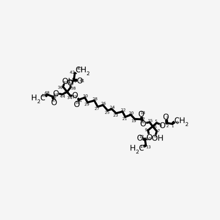 C=CC(=O)OCC(CO)(COC(=O)C=C)COC(=O)CCCCCCCCCCCCC(=O)OCC(CO)(COC(=O)C=C)COC(=O)C=C